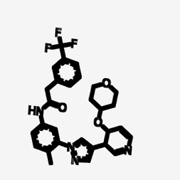 Cc1ccc(NC(=O)Cc2cccc(C(F)(F)F)c2)cc1-n1cc(C2C=NC=CC2OC2CCOCC2)cn1